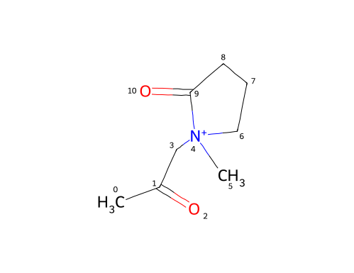 CC(=O)C[N+]1(C)CCCC1=O